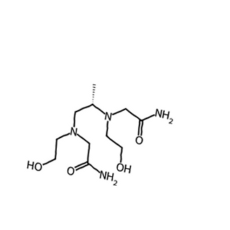 C[C@@H](CN(CCO)CC(N)=O)N(CCO)CC(N)=O